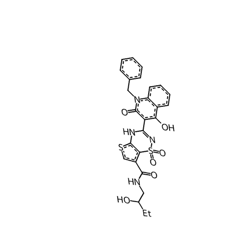 CCC(O)CNC(=O)c1csc2c1S(=O)(=O)N=C(c1c(O)c3ccccc3n(Cc3ccccc3)c1=O)N2